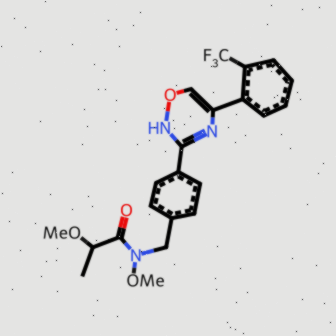 COC(C)C(=O)N(Cc1ccc(C2=NC(c3ccccc3C(F)(F)F)=CON2)cc1)OC